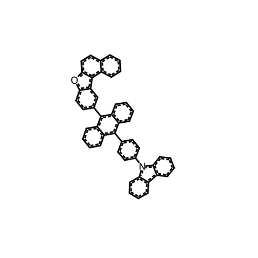 c1ccc2c(c1)ccc1oc3ccc(-c4c5ccccc5c(-c5ccc(-n6c7ccccc7c7ccccc76)cc5)c5ccccc45)cc3c12